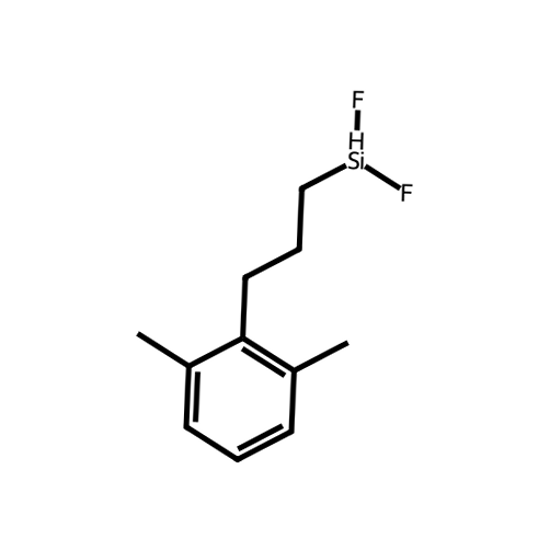 Cc1cccc(C)c1CCC[SiH](F)F